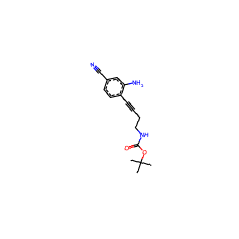 CC(C)(C)OC(=O)NCCC#Cc1ccc(C#N)cc1N